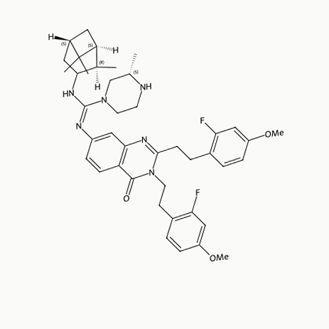 COc1ccc(CCc2nc3cc(N=C(NC4C[C@@H]5C[C@@H]([C@H]4C)C5(C)C)N4CCN[C@@H](C)C4)ccc3c(=O)n2CCc2ccc(OC)cc2F)c(F)c1